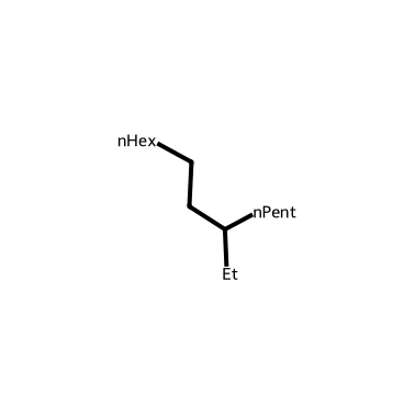 [CH2]CCCCCCCC(CC)CCCCC